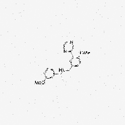 COc1cccc([C@@H](C)NCc2ccc(OC)c(-c3cnccn3)c2)c1